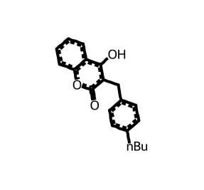 CCCCc1ccc(Cc2c(O)c3ccccc3oc2=O)cc1